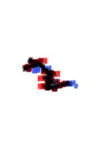 CC(C)(C)OC(=O)CCC(NC(=O)NC(CCCCNC(=O)CCc1ccc(O)c(CN(CCN(CC(=O)O)Cc2cc(CCC(=O)NCCOCCOCCN)ccc2O)CC(=O)O)c1)C(O)O)C(=O)OC(C)(C)C